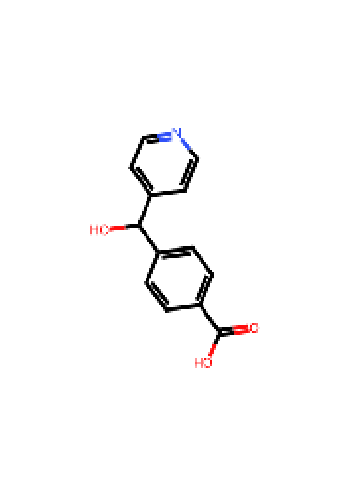 O=C(O)c1ccc(C(O)c2ccncc2)cc1